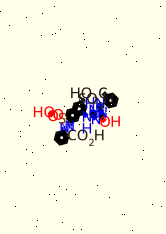 O=C(O)c1ccccc1/N=N/c1cc2c(Nc3nc(O)nc(Nc4ccccc4C(=O)O)n3)cc(S(=O)(=O)O)cc2cc1SOOO